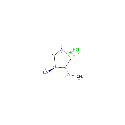 CO[C@H]1CNC[C@@H]1N.Cl.Cl